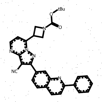 CC(C)(C)OC(=O)N1CC(c2ccnc3c(C#N)c(-c4ccc5ccc(-c6ccccc6)nc5c4)nn23)C1